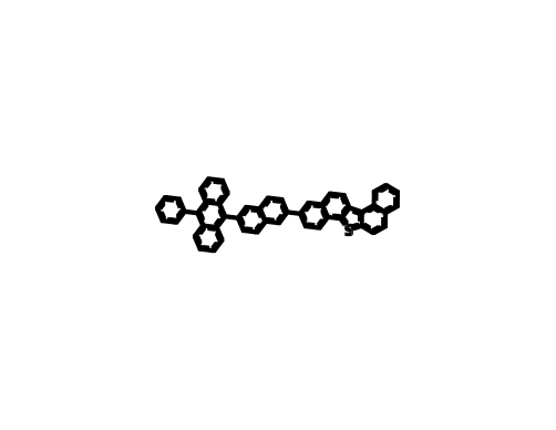 c1ccc(-c2c3ccccc3c(-c3ccc4cc(-c5ccc6c(ccc7c6sc6ccc8ccccc8c67)c5)ccc4c3)c3ccccc23)cc1